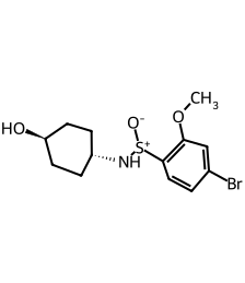 COc1cc(Br)ccc1[S+]([O-])N[C@H]1CC[C@H](O)CC1